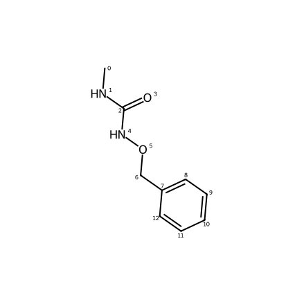 CNC(=O)NOCc1ccccc1